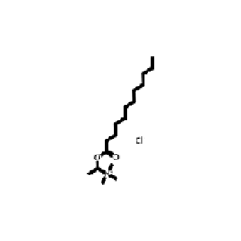 CCCCCCCCCCCC(=O)OC(C)[N+](C)(C)C.[Cl-]